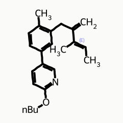 C=C(Cc1cc(-c2ccc(OCCCC)nc2)ccc1C)/C(C)=C/C